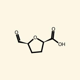 O=C[C@@H]1CC[C@H](C(=O)O)O1